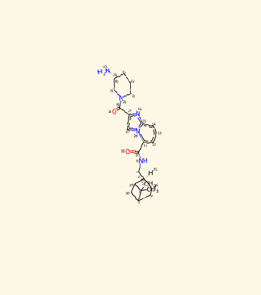 CC1(C)C2CC[C@H](CNC(=O)c3cccc4nc(C(=O)N5CCC[C@@H](N)C5)cn34)C1C2